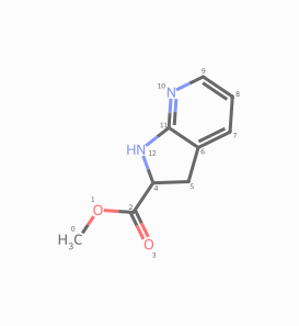 COC(=O)C1Cc2cccnc2N1